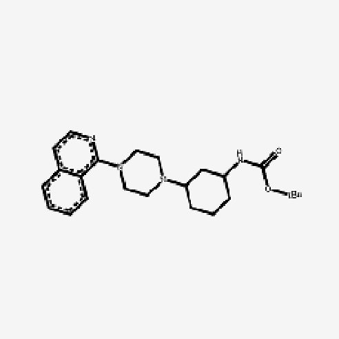 CC(C)(C)OC(=O)NC1CCCC(N2CCN(c3nccc4ccccc34)CC2)C1